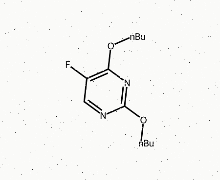 CCCCOc1ncc(F)c(OCCCC)n1